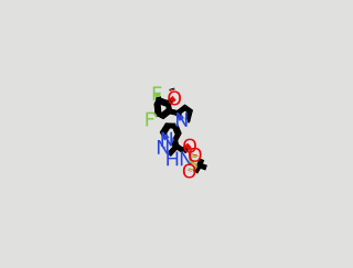 COc1c(F)cc(F)cc1C1CCCN1c1ccn2ncc(C(=O)NS(=O)(=O)C(C)(C)C)c2c1